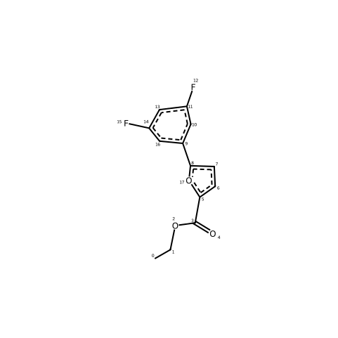 CCOC(=O)c1ccc(-c2cc(F)cc(F)c2)o1